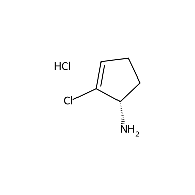 Cl.N[C@H]1CCC=C1Cl